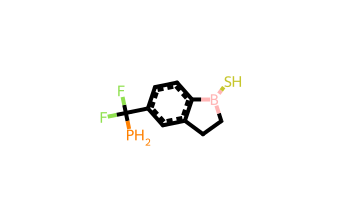 FC(F)(P)c1ccc2c(c1)CCB2S